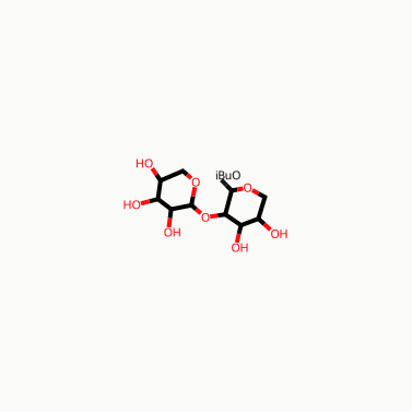 CC(C)COC1OCC(O)C(O)C1OC1OCC(O)C(O)C1O